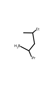 BC(CC(C)CC)C(C)C